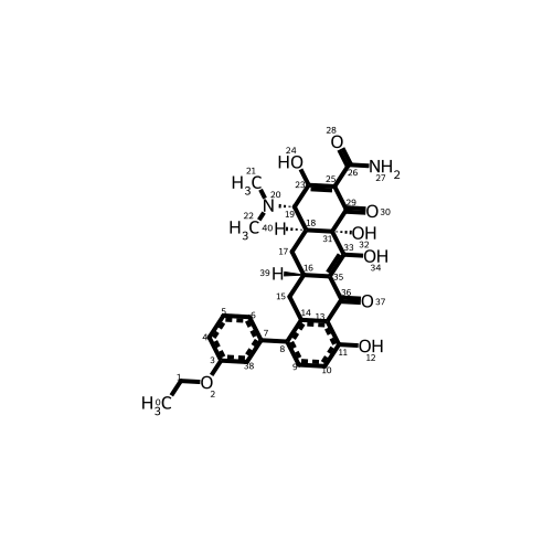 CCOc1cccc(-c2ccc(O)c3c2C[C@@H]2C[C@H]4[C@H](N(C)C)C(O)=C(C(N)=O)C(=O)[C@@]4(O)C(O)=C2C3=O)c1